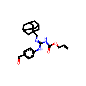 C=CCOC(=O)N/C(=N\CC12CC3CC(CC(C3)C1)C2)Nc1ccc(C=O)cc1